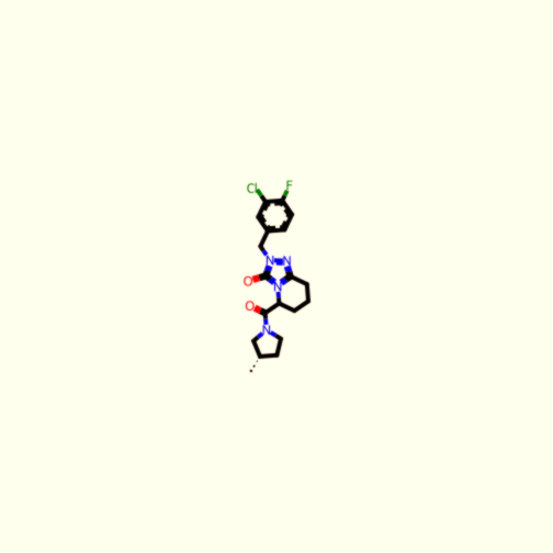 C[C@H]1CCN(C(=O)C2CCCc3nn(Cc4ccc(F)c(Cl)c4)c(=O)n32)C1